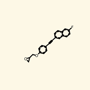 Fc1ccc2cc(C#Cc3ccc(OCC4CO4)cc3)ccc2c1